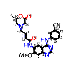 COc1cc2ncnc(Nc3cccc(C#N)c3)c2cc1NC(=O)/C=C/CN1CC(=O)O[C@H](C)C1